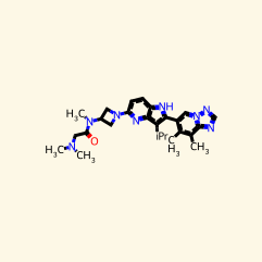 Cc1c(-c2[nH]c3ccc(N4CC(N(C)C(=O)CN(C)C)C4)nc3c2C(C)C)cn2ncnc2c1C